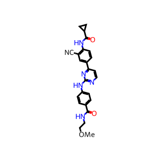 COCCNC(=O)c1ccc(Nc2nccc(-c3ccc(NC(=O)C4CC4)c(C#N)c3)n2)cc1